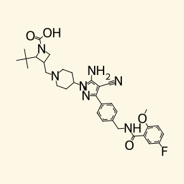 COc1ccc(F)cc1C(=O)NCc1ccc(-c2nn(C3CCN(CC4CN(C(=O)O)C4C(C)(C)C)CC3)c(N)c2C#N)cc1